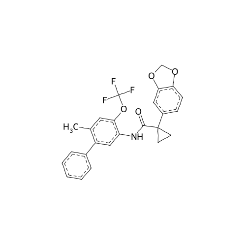 Cc1cc(OC(F)(F)F)c(NC(=O)C2(c3ccc4c(c3)OCO4)CC2)cc1-c1ccccc1